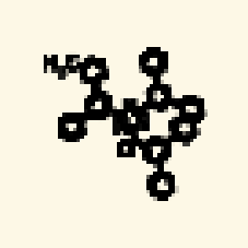 CC1C=CC=C(c2cc(-c3ccccc3)cc(-c3nc(C(=O)c4cc(-c5ccccc5)cc(-c5ccccc5)c4)nc(-c4cc(-c5ccccc5)cc(-c5ccccc5)c4)n3)c2)C1